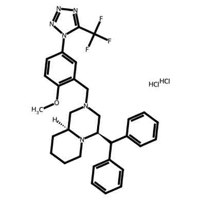 COc1ccc(-n2nnnc2C(F)(F)F)cc1CN1C[C@@H]2CCCCN2[C@H](C(c2ccccc2)c2ccccc2)C1.Cl.Cl